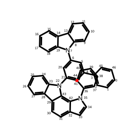 c1ccc(-c2cc(-n3c4ccccc4c4ccccc43)cc(-n3c4ccccc4c4ccc5ccn(-c6ccccc6)c5c43)c2)cc1